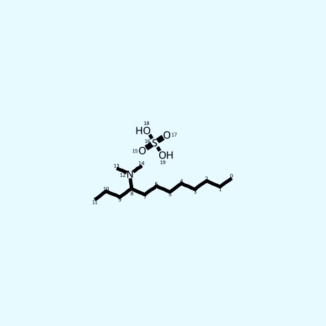 CCCCCCCCC(CCC)N(C)C.O=S(=O)(O)O